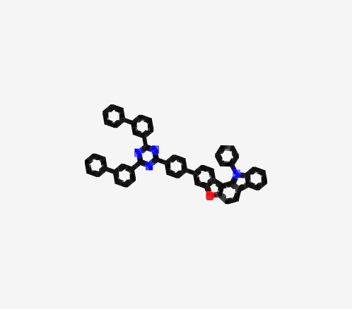 c1ccc(-c2cccc(-c3nc(-c4ccc(-c5ccc6c(c5)oc5ccc7c8ccccc8n(-c8ccccc8)c7c56)cc4)nc(-c4cccc(-c5ccccc5)c4)n3)c2)cc1